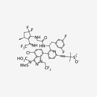 CSN(C(=O)O)c1nn(CC(F)(F)F)c2c(-c3ccc(C#CC(C)(C)[S+](C)[O-])nc3C(Cc3cc(F)cc(F)c3)NC(=O)CNC3=C(C(=N)C(F)(F)F)[C@@H](C)CC3(F)F)ccc(Cl)c12